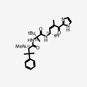 CN[C@H](C(=O)N[C@](C)(C(=O)N[C@H](C=C(C)C(=O)c1ncc[nH]1)C(C)C)C(C)(C)C)C(C)(C)c1ccccc1